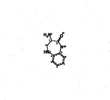 NC1CNc2ccccc2[N]C1=O